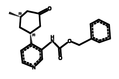 C[C@@H]1CC(=O)C[C@H](c2ccncc2NC(=O)OCc2ccccc2)C1